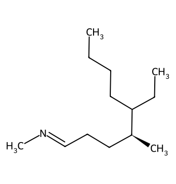 CCCCC(CC)[C@@H](C)CC/C=N/C